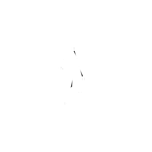 CC(C)(C)OC(=O)[C@H]1NC(=O)[C@@H]2CCC[C@H]12